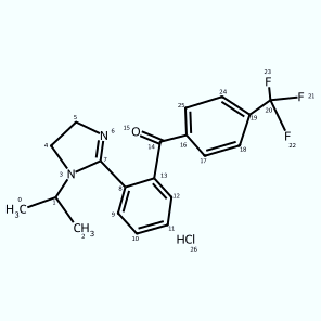 CC(C)N1CCN=C1c1ccccc1C(=O)c1ccc(C(F)(F)F)cc1.Cl